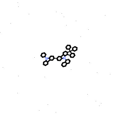 c1ccc(-n2c3ccccc3c3cc(-c4ccc5c(c4)c4ccc6c(c4n5-c4cccc5ccccc45)-c4ccccc4C6(c4ccccc4)c4ccccc4)ccc32)cc1